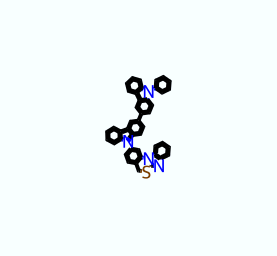 c1ccc(-n2c3ccccc3c3cc(-c4ccc5c(c4)c4ccccc4n5-c4ccc5c(c4)-n4c(nc6ccccc64)SC5)ccc32)cc1